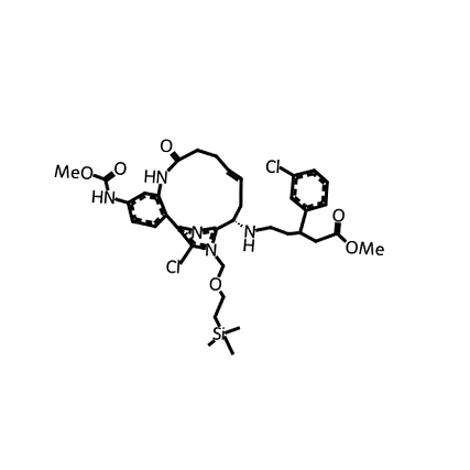 COC(=O)CC(CCN[C@H]1C/C=C/CCC(=O)Nc2cc(NC(=O)OC)ccc2-c2nc1n(COCC[Si](C)(C)C)c2Cl)c1cccc(Cl)c1